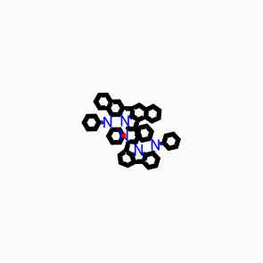 c1ccc(N(c2ccccc2)c2cccc3c4cccc5c6nc7c(cc6n(c23)c45)c2c3ccccc3cc3c4cc5ccccc5c(N(c5ccccc5)c5ccccc5)c4n7c32)cc1